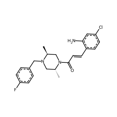 C[C@@H]1CN(Cc2ccc(F)cc2)[C@@H](C)CN1C(=O)C=Cc1ccc(Cl)cc1N